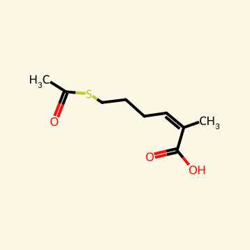 CC(=O)SCCCC=C(C)C(=O)O